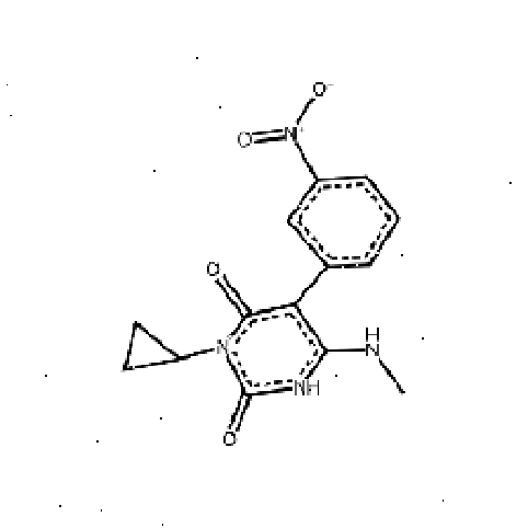 CNc1[nH]c(=O)n(C2CC2)c(=O)c1-c1cccc([N+](=O)[O-])c1